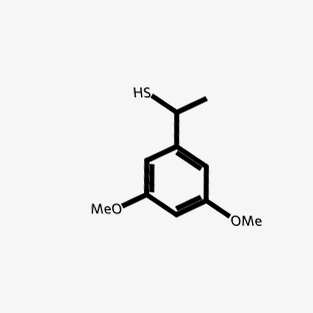 COc1cc(OC)cc(C(C)S)c1